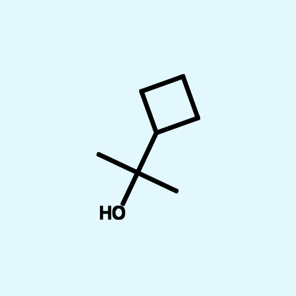 CC(C)(O)C1CCC1